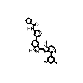 Cc1cc(F)cc(-c2nccc3[nH]c(-c4n[nH]c5ccc(-c6cncc(NC(=O)C7CCCC7)c6)cc45)cc23)c1